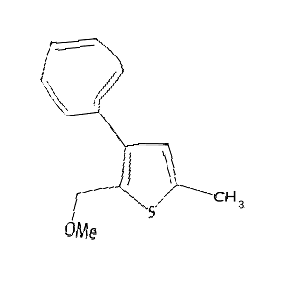 COCc1sc(C)cc1-c1ccccc1